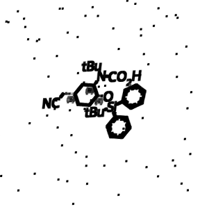 CC(C)(C)N(C(=O)O)[C@@H]1C[C@@H](CC#N)CC[C@H]1O[Si](c1ccccc1)(c1ccccc1)C(C)(C)C